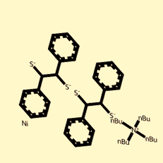 CCCC[N+](CCCC)(CCCC)CCCC.[Ni].[S-]C(c1ccccc1)C([S-])c1ccccc1.[S-]C(c1ccccc1)C([S-])c1ccccc1